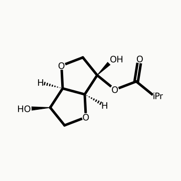 CC(C)C(=O)O[C@@]1(O)CO[C@@H]2[C@H](O)CO[C@@H]21